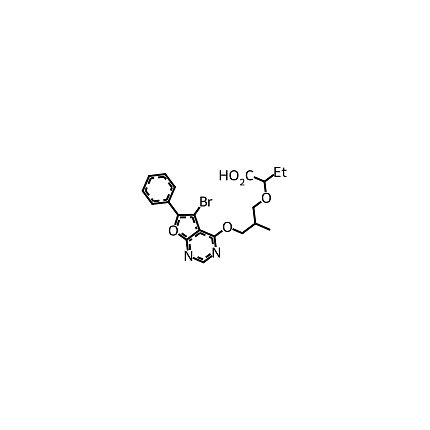 CCC(OCC(C)COc1ncnc2oc(-c3ccccc3)c(Br)c12)C(=O)O